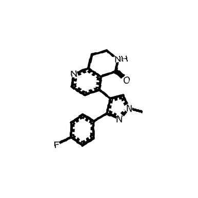 Cn1cc(-c2ccnc3c2C(=O)NCC3)c(-c2ccc(F)cc2)n1